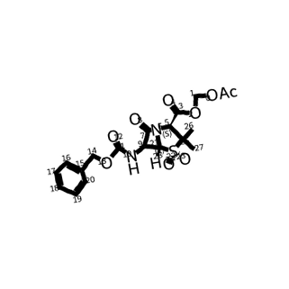 CC(=O)OCOC(=O)[C@@H]1N2C(=O)C(NC(=O)OCc3ccccc3)[C@H]2S(=O)(=O)C1(C)C